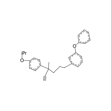 C#CC(C)(CCCc1cccc(Oc2ccccc2)c1)c1ccc(OC(C)C)cc1